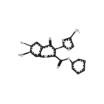 CCc1cc2c(=O)c(-c3nc(C)cs3)c(C(=O)Oc3ccccc3)oc2cc1O